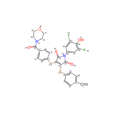 O=Cc1ccc(SC2=C(Sc3ccc(C(=O)N4CCOCC4)cc3)C(=O)N(c3cc(F)c(O)c(F)c3)C2=O)cc1